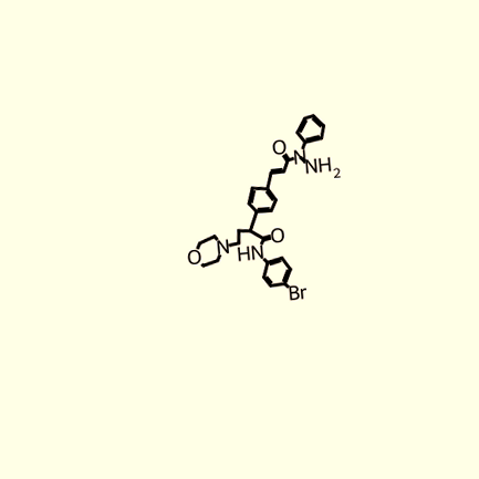 NN(C(=O)C=Cc1ccc(C(CCN2CCOCC2)C(=O)Nc2ccc(Br)cc2)cc1)c1ccccc1